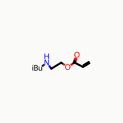 C=CC(=O)OCCNC(C)CC